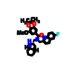 COc1cc(C(=O)N(Cc2ccc3cc(F)ccc3n2)C[C@@H]2C[C@@H]3CCCC[C@@H]3N2)cc2c1OC(C)(C)O2